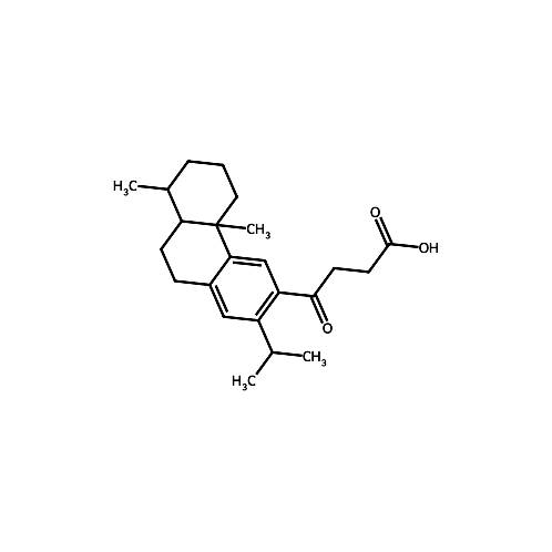 CC(C)c1cc2c(cc1C(=O)CCC(=O)O)C1(C)CCCC(C)C1CC2